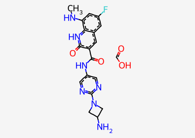 CNc1cc(F)cc2cc(C(=O)Nc3cnc(N4CC(N)C4)nc3)c(=O)[nH]c12.O=CO